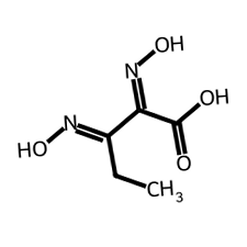 CCC(=N\O)/C(=N/O)C(=O)O